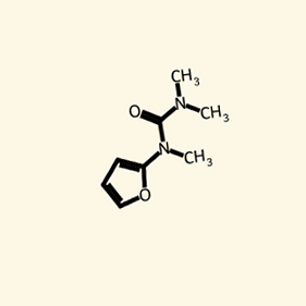 CN(C)C(=O)N(C)c1ccco1